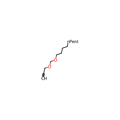 C#CCOCOCCCCCCCCC